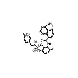 CCC(Cc1ccc(OC)cc1)S(=O)(=O)Nc1ccc(F)c(NC(=O)c2ccnc3c(N)ncnc23)c1Cl